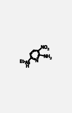 [CH2]C[AsH]c1ccc([N+](=O)[O-])c(N)n1